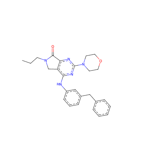 CCCN1Cc2c(Nc3cccc(Cc4ccccc4)c3)nc(N3CCOCC3)nc2C1=O